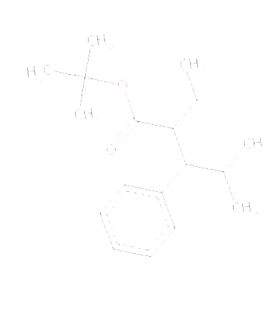 CCC(C(=O)OC(C)(C)C)C(c1ccccc1)C(C)C